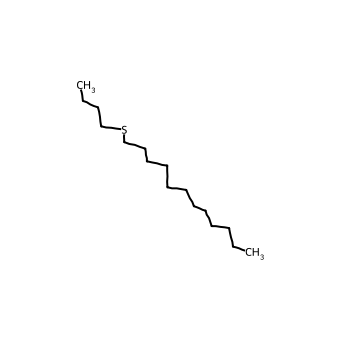 CCCCCCCCCCCCSCCCC